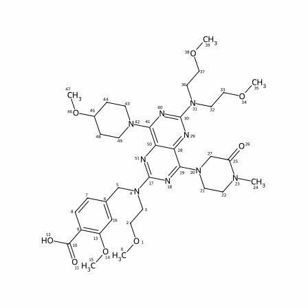 COCCN(Cc1ccc(C(=O)O)c(OC)c1)c1nc(N2CCN(C)C(=O)C2)c2nc(N(CCOC)CCOC)nc(N3CCC(OC)CC3)c2n1